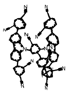 N#Cc1ccc(-c2ccc3c4ccc(-c5ccc(C#N)cc5C#N)cc4n(-c4cc(-c5ccc(C(F)(F)F)cc5C#N)c(-n5c6cc(-c7ccc(C#N)cc7C#N)ccc6c6ccc(-c7ccc(C#N)cc7C#N)cc65)cc4C#N)c3c2)c(C#N)c1